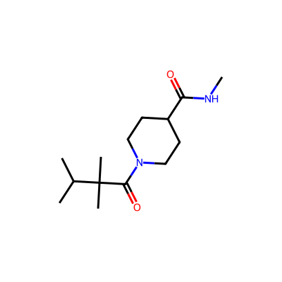 CNC(=O)C1CCN(C(=O)C(C)(C)C(C)C)CC1